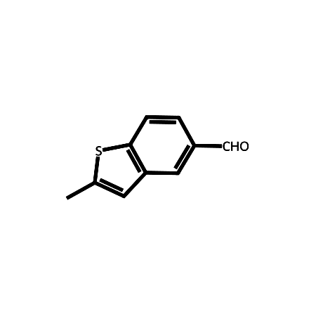 Cc1cc2cc(C=O)ccc2s1